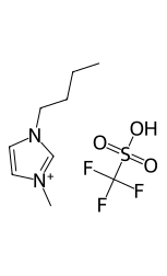 CCCCn1cc[n+](C)c1.O=S(=O)(O)C(F)(F)F